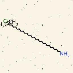 C[Si](C)(Cl)CCCCCCCCCCCCCCCCCCCCCCCCCCCCN